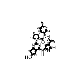 CC(C)c1cc(Nc2nc(N3CCC[C@H]3C(=O)Nc3ccc(F)nc3)nc3c2C[C@@H](O)C3)n[nH]1